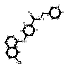 N#Cc1ccc2ccnc(Nc3ccc(C(=O)NCc4cccnc4)nc3)c2c1